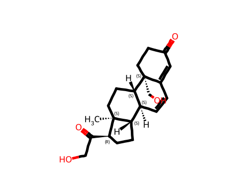 C[C@]12CC[C@H]3[C@@H](C=CC4=CC(=O)CC[C@@]43CO)[C@@H]1CC[C@H]2C(=O)CO